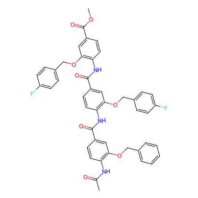 COC(=O)c1ccc(NC(=O)c2ccc(NC(=O)c3ccc(NC(C)=O)c(OCc4ccccc4)c3)c(OCc3ccc(F)cc3)c2)c(OCc2ccc(F)cc2)c1